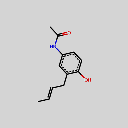 CC=CCc1cc(NC(C)=O)ccc1O